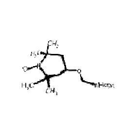 CCCCCCCCOC1CC(C)(C)N([O])C(C)(C)C1